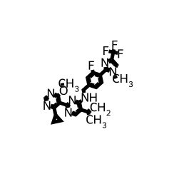 C=C(C)c1cnc(-c2c(OC)ncnc2C2CC2)nc1NCc1ccc(-c2nc(C(F)(F)F)cn2C)c(F)c1